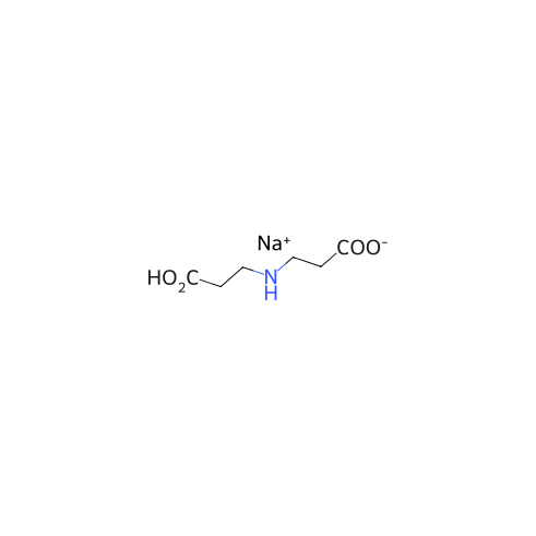 O=C([O-])CCNCCC(=O)O.[Na+]